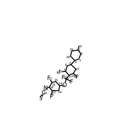 CC1CCC(C2CC(F)C(C(F)(F)OC3CC(F)C(N=C=S)C(F)C3)C(F)C2)CC1